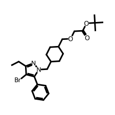 CCc1nn(CC2CCC(COCC(=O)OC(C)(C)C)CC2)c(-c2ccccc2)c1Br